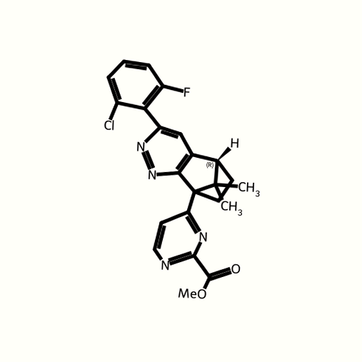 COC(=O)c1nccc(C23CC[C@@H](c4cc(-c5c(F)cccc5Cl)nnc42)C3(C)C)n1